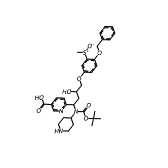 C[S+]([O-])c1cc(OCC(O)CC(c2ccc(C(=O)O)cn2)N(C(=O)OC(C)(C)C)C2CCNCC2)ccc1OCc1ccccc1